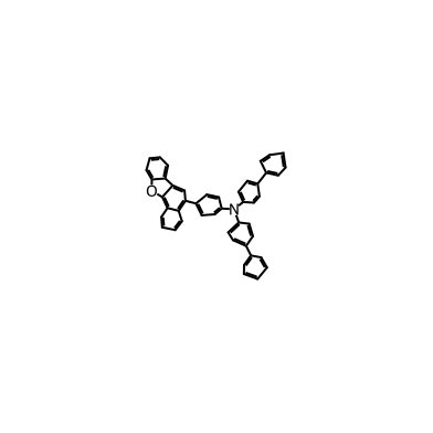 c1ccc(-c2ccc(N(c3ccc(-c4ccccc4)cc3)c3ccc(-c4cc5c6ccccc6oc5c5ccccc45)cc3)cc2)cc1